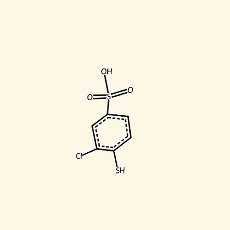 O=S(=O)(O)c1ccc(S)c(Cl)c1